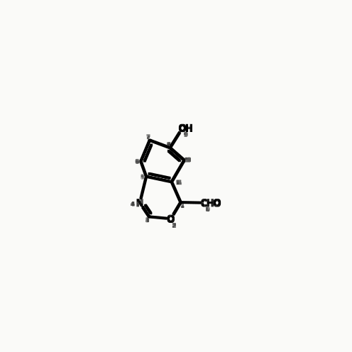 O=CC1OC=Nc2ccc(O)cc21